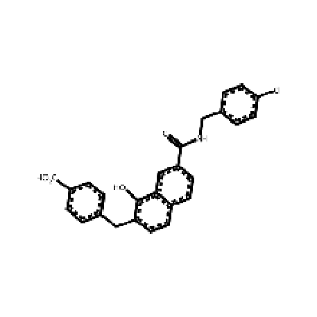 O=C(O)c1ccc(Cc2ccc3ccc(C(=O)NCc4ccc(Cl)cc4)cc3c2O)cc1